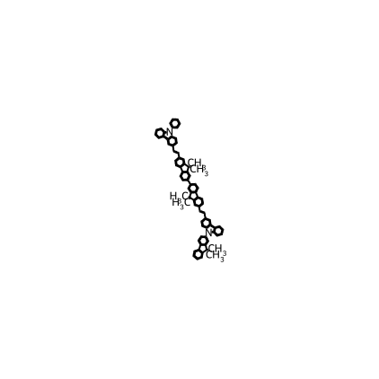 CC1(C)c2cc(/C=C/c3ccc4c(c3)c3ccccc3n4-c3ccccc3)ccc2-c2ccc(-c3ccc4c(c3)C(C)(C)c3cc(/C=C/c5ccc6c(c5)c5ccccc5n6-c5ccc6c(c5)C(C)(C)c5ccccc5-6)ccc3-4)cc21